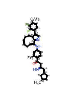 CCc1cc(N/C2=C\C/C=C\CCC3C(c4ccc(OC)c(F)c4F)=CN=C23)ccc1C(=O)CC(=N)CC1CC[C@@H](C)C1